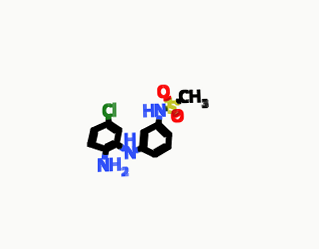 CS(=O)(=O)Nc1cccc(Nc2cc(Cl)ccc2N)c1